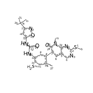 CSc1ncc2cc(-c3cc(NC(=O)Nc4cc(C(C)(C)C)no4)ccc3C)c(=O)n(C)c2n1.S